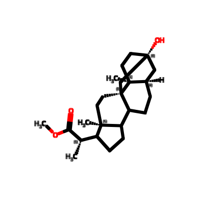 COC(=O)[C@@H](C)C1CCC2C3CC[C@@H]4C[C@]5(O)CC[C@]4(C)[C@]3(CC[C@@]21C)C5